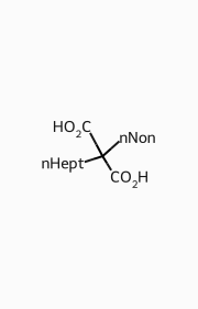 CCCCCCCCCC(CCCCCCC)(C(=O)O)C(=O)O